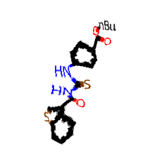 CCCCOC(=O)c1ccc(NC(=S)NC(=O)c2csc3ccccc23)cc1